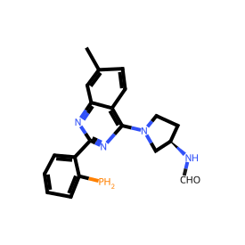 Cc1ccc2c(N3CC[C@@H](NC=O)C3)nc(-c3ccccc3P)nc2c1